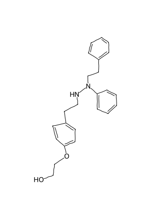 OCCOc1ccc(CCNN(CCc2ccccc2)c2ccccc2)cc1